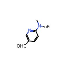 CCCN(C)c1ccc(C=O)cn1